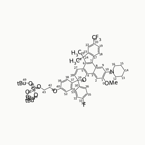 COc1cc2c3c(c4c(c2cc1N1CCCCC1)-c1ccc(C(F)(F)F)cc1C4(C)C)C=CC(c1ccc(F)cc1)(c1ccc(OCCO[Si](OC(C)(C)C)(OC(C)(C)C)OC(C)(C)C)cc1)O3